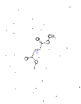 COC(=O)/C=C/C(=O)OI